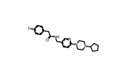 O=C(Cc1ccc(F)cc1)NCc1ccc(N2CCN(C3CCCC3)CC2)nc1